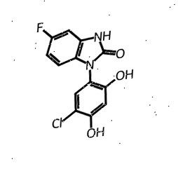 O=c1[nH]c2cc(F)ccc2n1-c1cc(Cl)c(O)cc1O